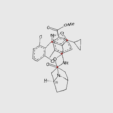 COC(=O)c1ccc(NC(=O)N2C3CC[C@H]2CC(OCc2c(-c4c(Cl)cccc4Cl)noc2C2CC2)C3)c(C)c1